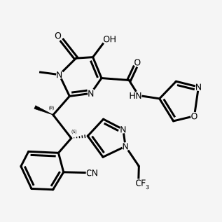 C[C@@H](c1nc(C(=O)Nc2cnoc2)c(O)c(=O)n1C)[C@H](c1cnn(CC(F)(F)F)c1)c1ccccc1C#N